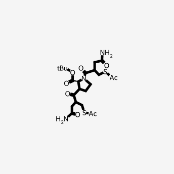 CC(=O)SCC(CC(N)=O)C(=O)C1CCN(C(=O)C(CSC(C)=O)CC(N)=O)[C@@H]1C(=O)OC(C)(C)C